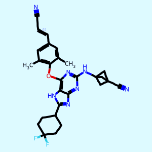 Cc1cc(/C=C/C#N)cc(C)c1Oc1nc(NC23CC(C#N)(C2)C3)nc2nc(C3CCC(F)(F)CC3)[nH]c12